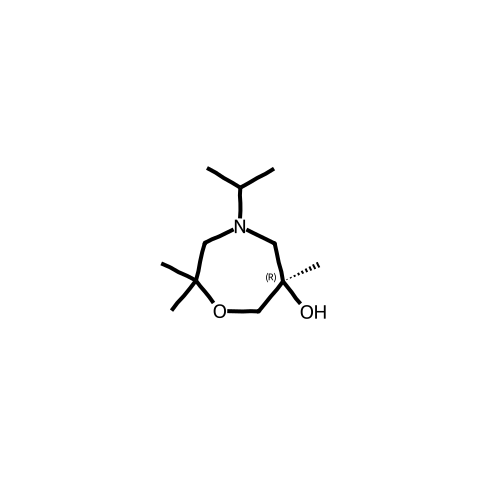 CC(C)N1CC(C)(C)OC[C@](C)(O)C1